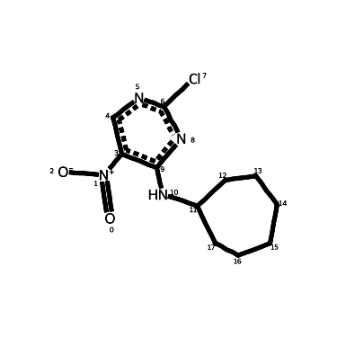 O=[N+]([O-])c1cnc(Cl)nc1NC1CCCCCC1